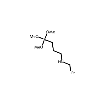 CO[Si](CCCNCC(C)C)(OC)OC